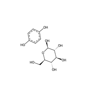 OC[C@H]1O[C@@H](O)[C@H](O)[C@@H](O)[C@@H]1O.Oc1ccc(O)cc1